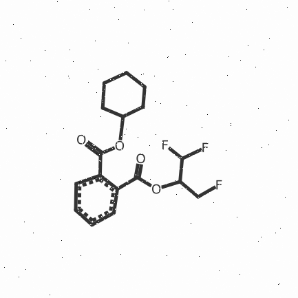 O=C(OC1CCCCC1)c1ccccc1C(=O)OC(CF)C(F)F